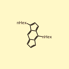 CCCCCCC1=CC=c2c1cc1c(c2CCCCCC)C=CC=1